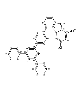 ClC1=CC2c3c(cccc3-c3ccc(-c4nc(-c5ccccc5)nc(-c5ccccc5)n4)cc3)OC2C(Cl)=C1